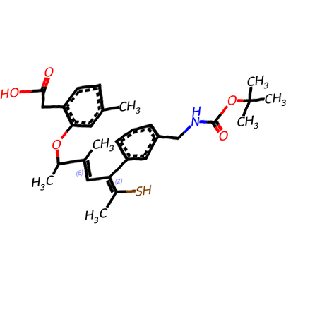 C/C(S)=C(\C=C(/C)C(C)Oc1cc(C)ccc1CC(=O)O)c1cccc(CNC(=O)OC(C)(C)C)c1